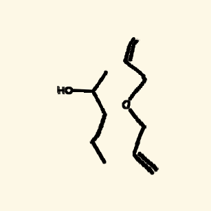 C=CCOCC=C.CCCC(C)O